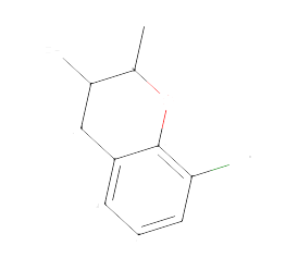 CCC1Cc2cccc(F)c2OC1C